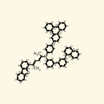 C/C(=C\C=C(/C)N(c1ccc(-c2ccc3c4ccccc4c4ccccc4c3c2)cc1)c1cccc(-c2cccc(-c3cccc4ccccc34)c2)c1)c1cccc2c1oc1ccccc12